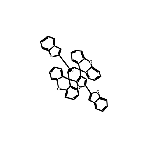 c1ccc2c(c1)Oc1ccccc1C21c2cc(-c3cc4ccccc4s3)oc2C2(c3ccccc3Oc3ccccc32)c2cc(-c3cc4ccccc4s3)oc21